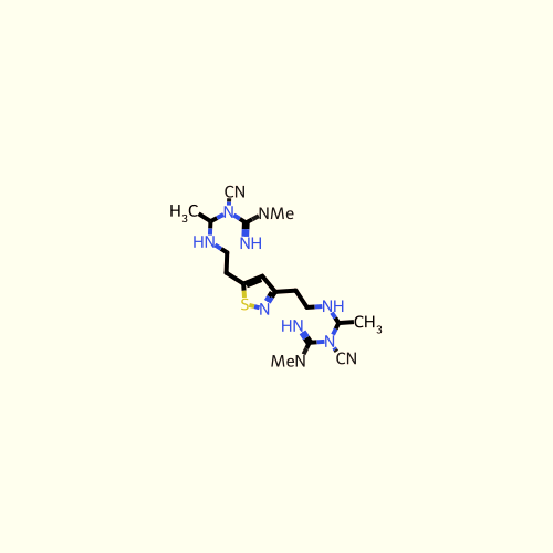 CNC(=N)N(C#N)C(C)NCCc1cc(CCNC(C)N(C#N)C(=N)NC)sn1